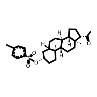 CC(=O)[C@H]1CC[C@H]2[C@@H]3CC[C@H]4C[C@@H](OS(=O)(=O)c5ccc(C)cc5)CC[C@]4(C)[C@H]3CC[C@]12C